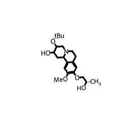 COc1cc2c(cc1OC[C@H](C)O)CCN1CC(OC(C)(C)C)C(O)CC21